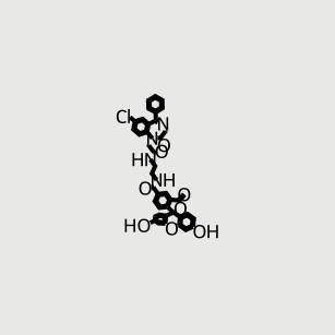 O=C(CN1C(=O)CN=C(c2ccccc2)c2cc(Cl)ccc21)NCCNC(=O)c1ccc2c(c1)C(=O)OC21c2ccc(O)cc2Oc2cc(O)ccc21